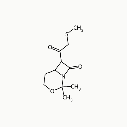 CSCC(=O)C1C(=O)N2C1CCOC2(C)C